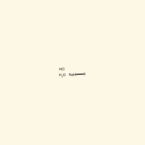 Cl.O.[K][I].[NaH]